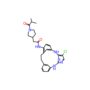 CC(C)C(=O)N1CCC(CC(=O)Nc2ccc3cc2CCc2cccc(c2)Nc2ncc(Cl)c(n2)N3)CC1